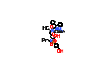 C#C[C@@H](CCC[C@@H](CO)N(CCC(C)C)S(=O)(=O)c1ccc(CO)cc1)N(C(=O)OC)C(=O)[C@@H](N)C(c1ccccc1)c1ccccc1